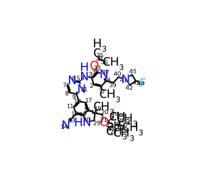 Cc1cc(Nc2nccc(-c3cc(C#N)c4c(c3)[C@@](C)(CO[Si](C)(C)C(C)(C)C)CN4)n2)c(OC(C)C)nc1CCN1CC(F)C1